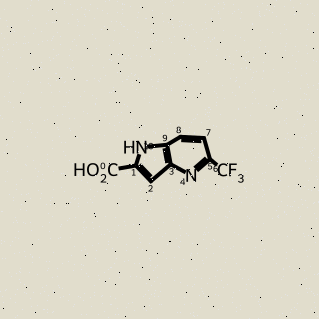 O=C(O)c1cc2nc(C(F)(F)F)ccc2[nH]1